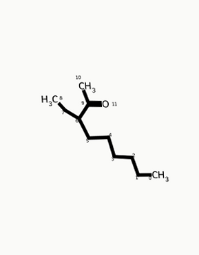 CCCCCCC(CC)C(C)=O